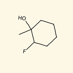 CC1(O)CCCCC1F